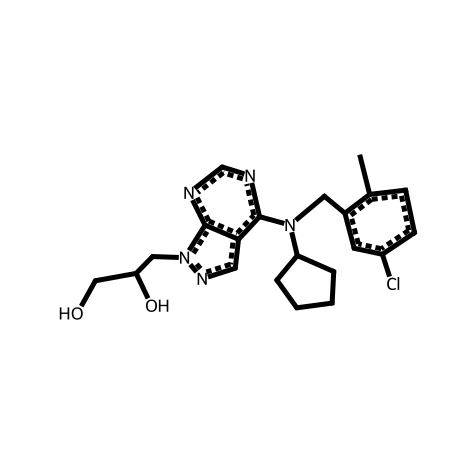 Cc1ccc(Cl)cc1CN(c1ncnc2c1cnn2CC(O)CO)C1CCCC1